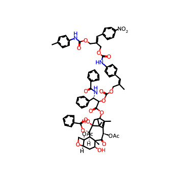 CC(=O)O[C@H]1C(=O)[C@@]2(C)[C@H]([C@H](OC(=O)c3ccccc3)[C@]3(O)CC(OC(=O)[C@H](OC(=O)OC/C(C)=C\c4ccc(NC(=O)OC/C(=C\c5ccc([N+](=O)[O-])cc5)COC(=O)Nc5ccc(C)cc5)cc4)[C@@H](NC(=O)c4ccccc4)c4ccccc4)C(C)=C1C3(C)C)[C@]1(OC(C)=O)CO[C@@H]1C[C@@H]2O